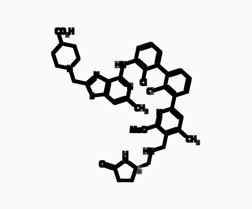 COc1nc(-c2cccc(-c3cccc(Nc4nc(C)cc5sc(CN6CCC(C(=O)O)CC6)nc45)c3Cl)c2Cl)cc(C)c1CNC[C@@H]1CCC(=O)N1